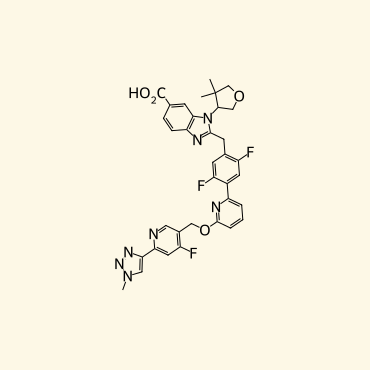 Cn1cc(-c2cc(F)c(COc3cccc(-c4cc(F)c(Cc5nc6ccc(C(=O)O)cc6n5C5COCC5(C)C)cc4F)n3)cn2)nn1